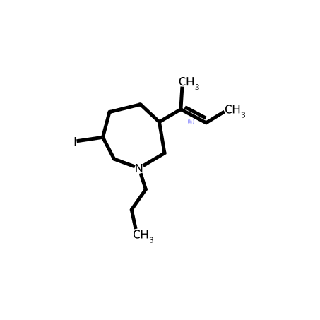 C/C=C(\C)C1CCC(I)CN(CCC)C1